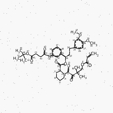 C=CC(=O)OCC(C)(C)C(=O)C(=O)N1CCCC[C@H]1C(=O)O[C@H](CCc1ccc(OC)c(OC)c1)c1cccc(NC(=O)CCC(=O)OC(C)(C)C)c1